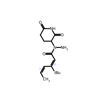 C/C=C\C(=C/C(=O)N(N)C1CCC(=O)NC1=O)C(C)(C)C